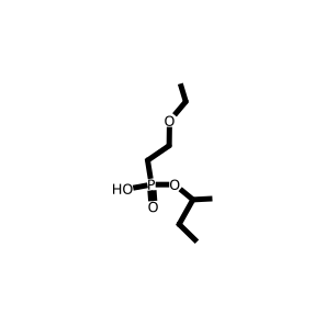 CCOCCP(=O)(O)OC(C)CC